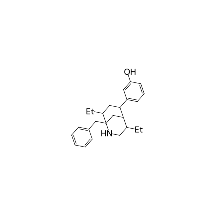 CCC1CNC2(Cc3ccccc3)CC1C(c1cccc(O)c1)CC2CC